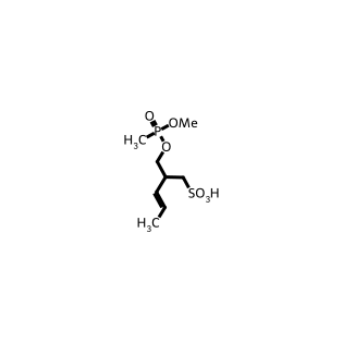 CC=CC(COP(C)(=O)OC)CS(=O)(=O)O